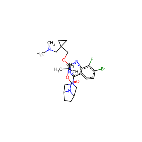 CN(C)CC1(COc2nc(N3CC4CCC(C3)N4C(=O)OC(C)(C)C)c3ccc(Br)c(F)c3n2)CC1